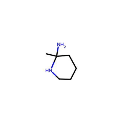 CC1(N)CCCCN1